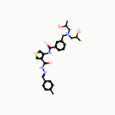 Cc1ccc(C=NNC(=O)c2cscc2NC(=O)c2cccc(CN(CC(C)O)CC(C)O)c2)cc1